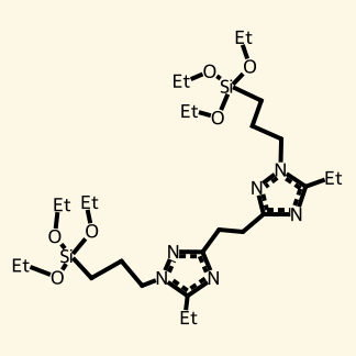 CCO[Si](CCCn1nc(CCc2nc(CC)n(CCC[Si](OCC)(OCC)OCC)n2)nc1CC)(OCC)OCC